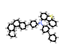 c1ccc(-c2ccc(N(c3ccc(-c4ccc5c(ccc6ccc7ccccc7c65)c4)cc3)c3cccc4sc5ccccc5c34)cc2)cc1